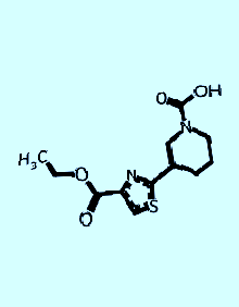 CCOC(=O)c1csc(C2CCCN(C(=O)O)C2)n1